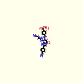 N#CCCCCn1c(NCc2ccc(C(=O)O)cc2)cc(=O)n2cc(-c3ccc(C#N)cc3)nc12